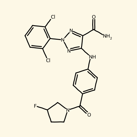 NC(=O)c1nn(-c2c(Cl)cccc2Cl)nc1Nc1ccc(C(=O)N2CCC(F)C2)cc1